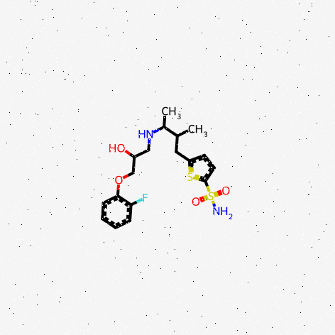 CC(Cc1ccc(S(N)(=O)=O)s1)C(C)NCC(O)COc1ccccc1F